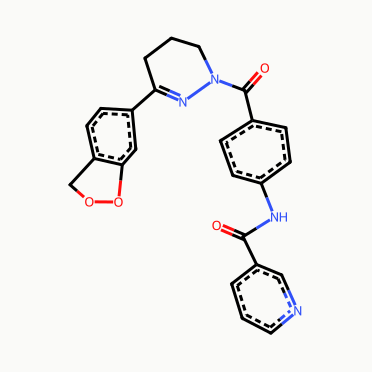 O=C(Nc1ccc(C(=O)N2CCCC(c3ccc4c(c3)OOC4)=N2)cc1)c1cccnc1